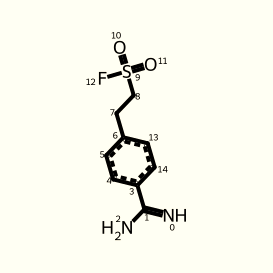 N=C(N)c1ccc(CCS(=O)(=O)F)cc1